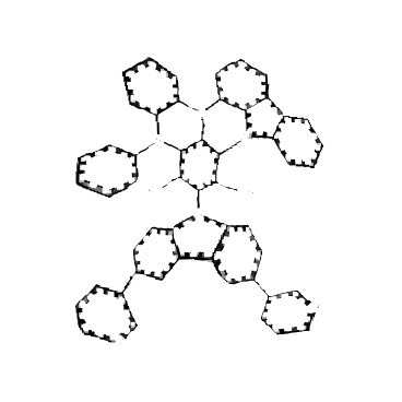 N#Cc1c2c3c(c(C#N)c1-n1c4ccc(-c5cccnc5)cc4c4cc(-c5cccnc5)ccc41)-n1c4ccccc4c4cccc(c41)B3c1ccccc1N2c1ccccc1